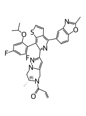 C=CC(=O)N1Cc2cc(-c3nc(-c4ccc5oc(C)nc5c4)c4ccsc4c3-c3c(F)cc(F)cc3OC(C)C)nn2C[C@H]1C